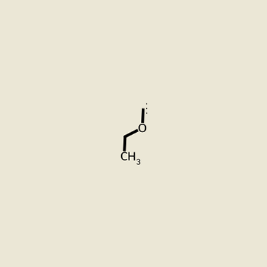 [C]OCC